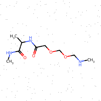 CNCOCOCC(=O)NC(C)C(=O)NC